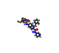 CC(C)(C)CC(=O)Nc1ccc2c(c1)cc(C(=O)Nc1cccnc1)n2Cc1ccccc1F